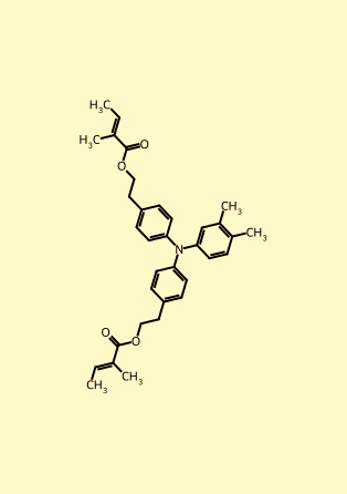 C/C=C(\C)C(=O)OCCc1ccc(N(c2ccc(CCOC(=O)/C(C)=C/C)cc2)c2ccc(C)c(C)c2)cc1